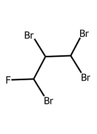 FC(Br)C(Br)C(Br)Br